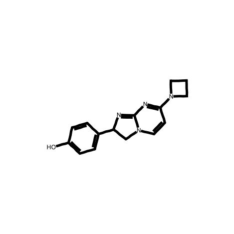 Oc1ccc(C2CN3C=CC(N4CCC4)=NC3=N2)cc1